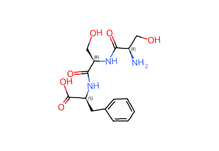 N[C@H](CO)C(=O)N[C@H](CO)C(=O)N[C@@H](Cc1ccccc1)C(=O)O